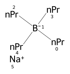 CCC[B-](CCC)(CCC)CCC.[Na+]